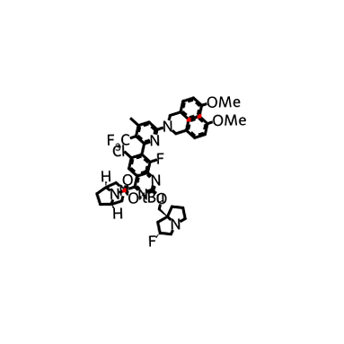 COc1ccc(CN(Cc2ccc(OC)cc2)c2cc(C)c(C(F)(F)F)c(-c3c(Cl)cc4c(N5C[C@H]6CC[C@@H](C5)N6C(=O)OC(C)(C)C)nc(OC[C@@]56CCCN5C[C@H](F)C6)nc4c3F)n2)cc1